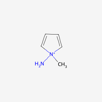 C[N+]1(N)C=CC=C1